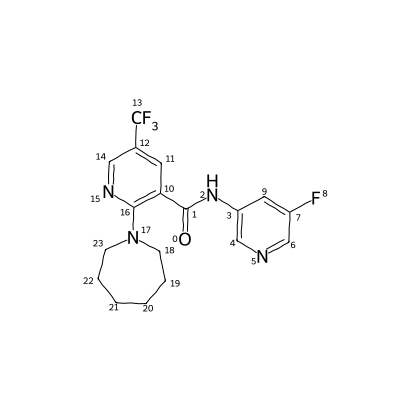 O=C(Nc1cncc(F)c1)c1cc(C(F)(F)F)cnc1N1CCCCCC1